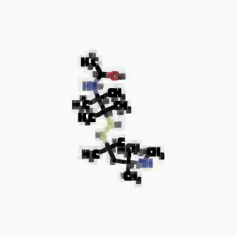 CNC(C)(C)CC(C)(C)SSC(C)(C)C(C)(C)NC(C)=O